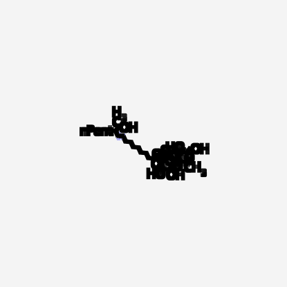 CCCCCC(/C=C/CCCCCCCC(=O)O[C@@H]1C(COC(C)=O)O[C@@H](OC2[C@H](C)OC(CO)[C@@H](O)[C@@H]2O)C(O)[C@H]1O)C(C)O